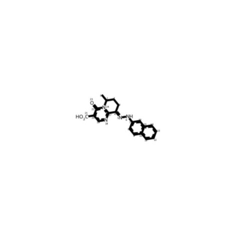 CC1CC/C(=N\Nc2ccc3ccccc3c2)c2ncc(C(=O)O)c(=O)n21